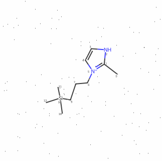 Cc1[nH]cc[n+]1CCC[Si](C)(C)C